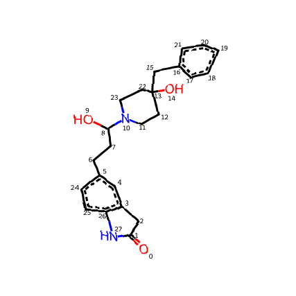 O=C1Cc2cc(CCC(O)N3CCC(O)(Cc4ccccc4)CC3)ccc2N1